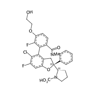 CNC(=O)c1ccc(OCCO)c(F)c1-c1c(Cl)c(F)cc2c1C[C@](c1ccccc1)([C@@H]1CCCN1C(=O)O)O2